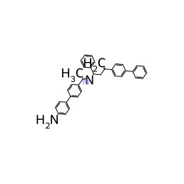 C=C(CC(/N=C(\C)c1ccc(-c2ccc(N)cc2)cc1)c1ccccc1)c1ccc(-c2ccccc2)cc1